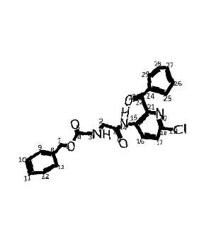 O=C(CNC(=O)OCc1ccccc1)Nc1ccc(Cl)nc1C(=O)c1ccccc1